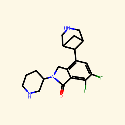 O=C1c2c(F)c(F)cc(C3C4CNCC3C4)c2CN1C1CCCNC1